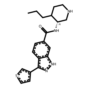 CCCC1CCNC[C@@H]1NC(=O)c1ccc2c(-c3ccsc3)n[nH]c2c1